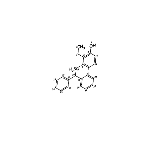 CCc1c(O)cccc1[SiH2]C(c1ccccc1)c1ccccc1